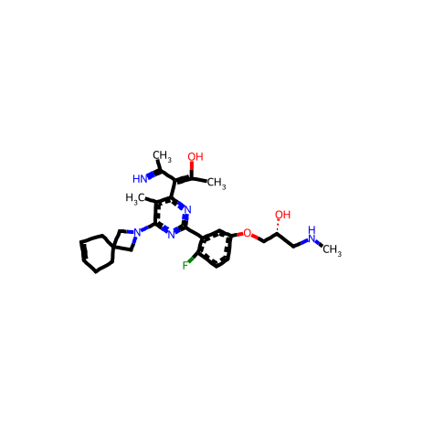 CNC[C@@H](O)COc1ccc(F)c(-c2nc(/C(C(C)=N)=C(\C)O)c(C)c(N3CC4(CC=CCC4)C3)n2)c1